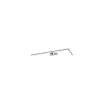 CCCCCCCCCCCCCCCCCCC(CCCCCCCCCCC=CCC(C)CCCCCC)C(=O)O